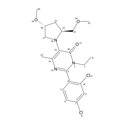 CCn1c(-c2ccc(Cl)cc2Cl)nc(C)c(N2C[C@H](OC)C[C@H]2COC)c1=O